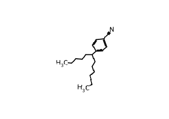 CCCCCCC(CCCCC)c1ccc(C#N)cc1